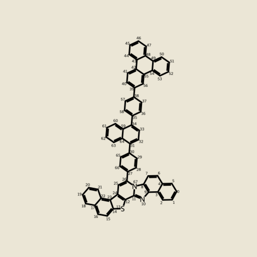 c1ccc2c(c1)ccc1c2nc2c3sc4ccc5ccccc5c4c3cc(-c3ccc(-c4ccc(-c5ccc(-c6ccc7c8ccccc8c8ccccc8c7c6)cc5)c5ccccc45)cc3)n12